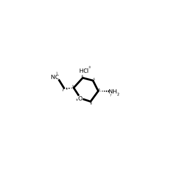 Cl.N#CC[C@@H]1CC[C@H](N)CO1